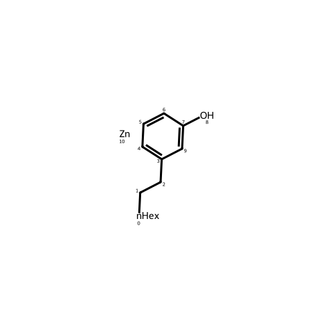 CCCCCCCCc1cccc(O)c1.[Zn]